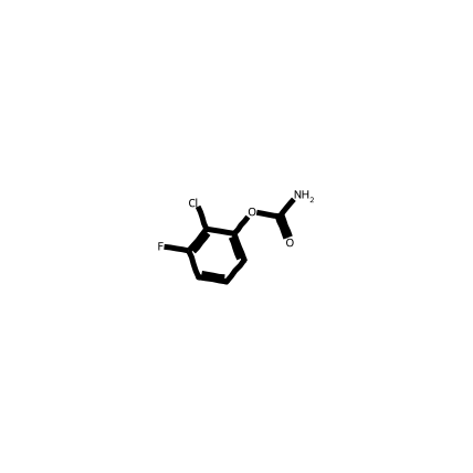 NC(=O)Oc1cccc(F)c1Cl